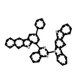 c1ccc(-c2cc(-c3nc(-n4c5ccccc5c5cc6c(cc54)sc4ccccc46)nc4ccccc34)c3oc4cc5ccccc5cc4c3c2)cc1